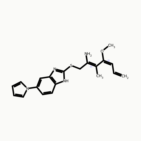 C=C/C=C(OC)\C(C)=C(/N)CSc1nc2cc(-n3cccc3)ccc2[nH]1